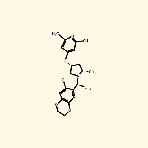 Cc1cc(O[C@@H]2C[C@H](C)N([C@@H](C)c3nc4c(cc3F)OCCO4)C2)cc(C)n1